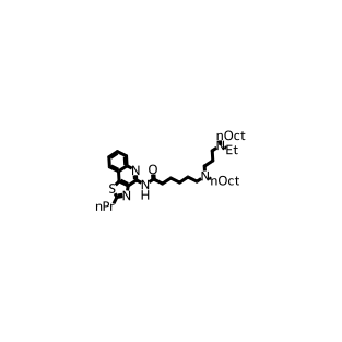 CCCCCCCCN(CC)CCCN(CCCCCCCC)CCCCCC(=O)Nc1nc2ccccc2c2sc(CCC)nc12